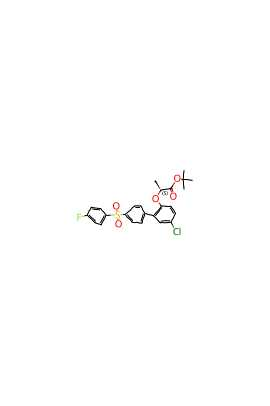 C[C@H](Oc1ccc(Cl)cc1-c1ccc(S(=O)(=O)c2ccc(F)cc2)cc1)C(=O)OC(C)(C)C